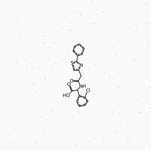 O=C(Cc1csc(-c2ccccc2)n1)NC(C(=O)O)c1ccccc1Cl